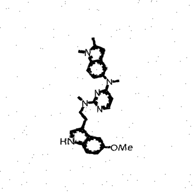 COc1ccc2[nH]cc(CCN(C)c3nccc(N(C)c4ccc5c(c4)cc(C)n5C)n3)c2c1